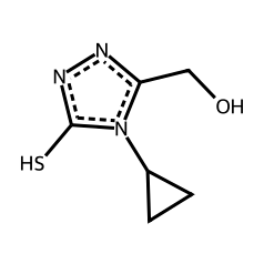 OCc1nnc(S)n1C1CC1